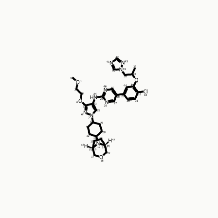 COCCOc1nn(C2CCC(N3[C@@H]4CC[C@H]3COC4)CC2)cc1Nc1ncc(-c2ccc(Cl)c(OC(C)Cn3cncn3)c2)cn1